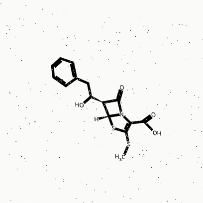 CSC1=C(C(=O)O)N2C(=O)[C@H](C(O)Cc3ccccc3)[C@H]2S1